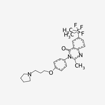 Cc1nc2ccc(S(C)(C)(F)(F)F)cc2c(=O)n1-c1ccc(OCCCN2CCCC2)cc1